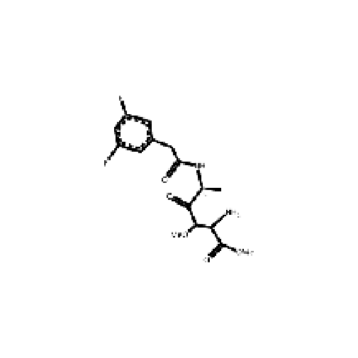 COC(=O)C(N)C(OC)C(=O)[C@H](C)NC(=O)Cc1cc(F)cc(F)c1